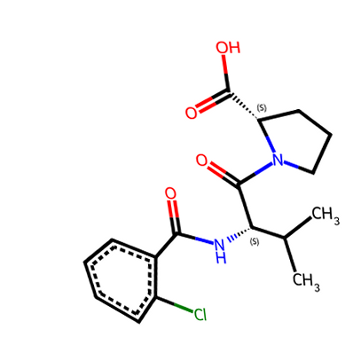 CC(C)[C@H](NC(=O)c1ccccc1Cl)C(=O)N1CCC[C@H]1C(=O)O